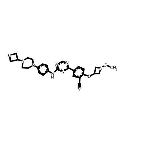 CSN1CC(Oc2ccc(-c3ncnc(Nc4ccc(N5CCN(C6COC6)CC5)cc4)n3)cc2C#N)C1